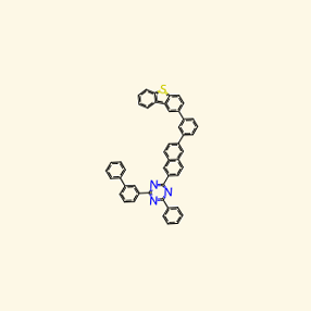 c1ccc(-c2cccc(-c3nc(-c4ccccc4)nc(-c4ccc5cc(-c6cccc(-c7ccc8sc9ccccc9c8c7)c6)ccc5c4)n3)c2)cc1